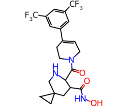 O=C(NO)C1CC2(CC2)CNC1C(=O)N1CC=C(c2cc(C(F)(F)F)cc(C(F)(F)F)c2)CC1